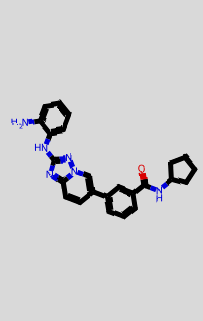 Nc1ccccc1Nc1nc2ccc(-c3cccc(C(=O)NC4CCCC4)c3)cn2n1